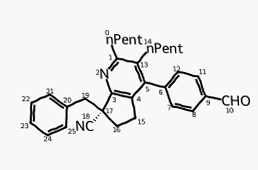 CCCCCc1nc2c(c(-c3ccc(C=O)cc3)c1CCCCC)CC[C@@]2(C#N)Cc1ccccc1